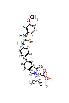 COc1cccc(NC(=S)Nc2ccc(-c3ccc4c(c3)C(=O)N([C@H](C(=O)O)C(C)C)C4)cc2)c1